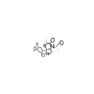 COC[C@H](C)n1c(=O)c(C)nc2c(-c3cc(F)c(OC)cc3Cl)nccc21